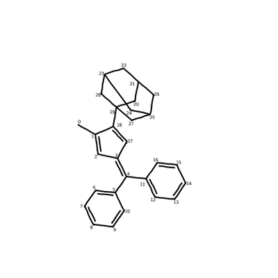 CC1=CC(=C(c2ccccc2)c2ccccc2)[C]=C1C12CC3CC(CC(C3)C1)C2